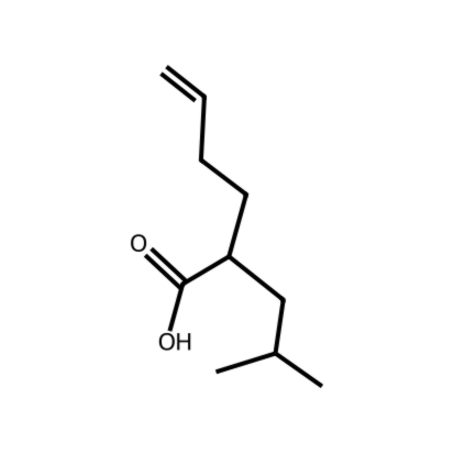 C=CCCC(CC(C)C)C(=O)O